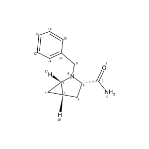 NC(=O)[C@@H]1C[C@@H]2C[C@@H]2N1Cc1ccccc1